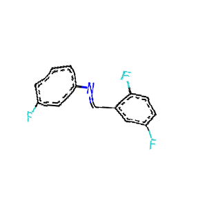 Fc1cccc(/N=C/c2cc(F)ccc2F)c1